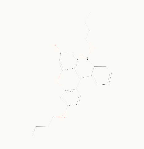 CCCCOC(=O)c1ccccc1-c1c2ccc(=O)cc-2oc2cc(OCCCC)ccc12